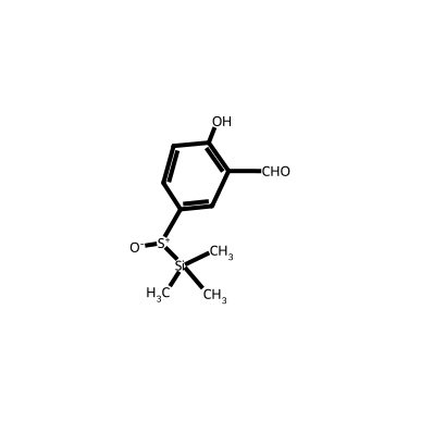 C[Si](C)(C)[S+]([O-])c1ccc(O)c(C=O)c1